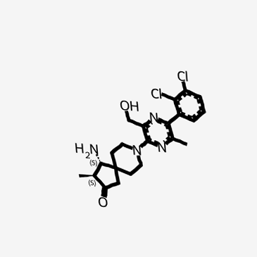 Cc1nc(N2CCC3(CC2)CC(=O)[C@@H](C)[C@@H]3N)c(CO)nc1-c1cccc(Cl)c1Cl